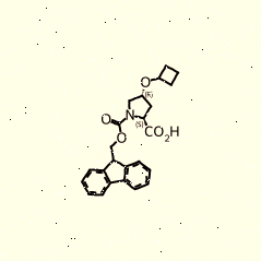 O=C(O)[C@@H]1C[C@@H](OC2CCC2)CN1C(=O)OCC1c2ccccc2-c2ccccc21